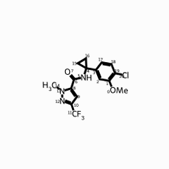 COc1cc(C2(NC(=O)c3cc(C(F)(F)F)nn3C)CC2)ccc1Cl